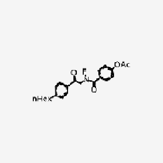 CCCCCCc1ccc(C(=O)CN(F)C(=O)c2ccc(OC(C)=O)cc2)cc1